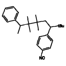 CC(c1ccccc1)C(C)(C)C(C)(C)CC(c1ccc(N=O)cc1)C(C)(C)C